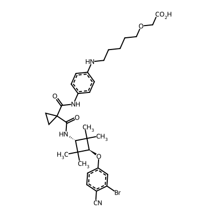 CC1(C)[C@H](NC(=O)C2(C(=O)Nc3ccc(NCCCCCOCC(=O)O)cc3)CC2)C(C)(C)[C@H]1Oc1ccc(C#N)c(Br)c1